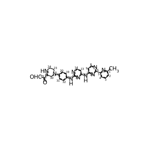 Cc1cccc(-c2nccc(Nc3ccnc(Nc4ccc(N5CCN[C@H](C(=O)C=O)C5)cc4)n3)n2)n1